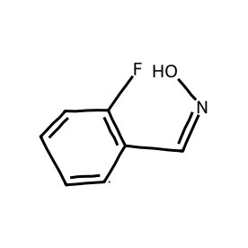 O/N=C\c1[c]cccc1F